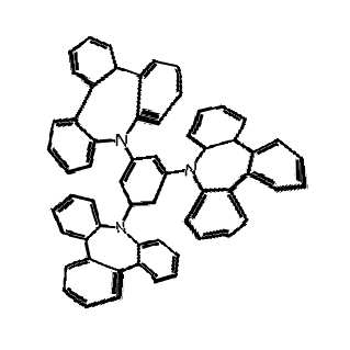 C1=CC2c3ccccc3N(C3=CC(N4c5ccccc5-c5ccccc5-c5ccccc54)CC(N4c5ccccc5-c5ccccc5C5C=CC=CC54)=C3)c3ccccc3C2C=C1